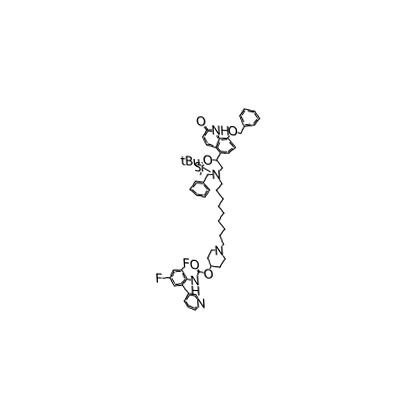 CC(C)(C)[Si](C)(C)OC(CN(CCCCCCCCCN1CCC(OC(=O)Nc2c(F)cc(F)cc2-c2cccnc2)CC1)Cc1ccccc1)c1ccc(OCc2ccccc2)c2[nH]c(=O)ccc12